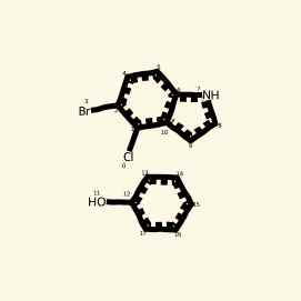 Clc1c(Br)ccc2[nH]ccc12.Oc1ccccc1